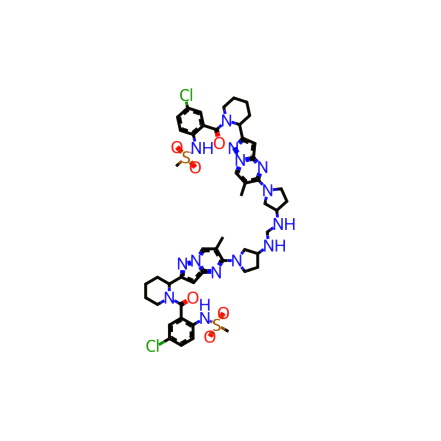 Cc1cn2nc(C3CCCCN3C(=O)c3cc(Cl)ccc3NS(C)(=O)=O)cc2nc1N1CCC(NCNC2CCN(c3nc4cc(C5CCCCN5C(=O)c5cc(Cl)ccc5NS(C)(=O)=O)nn4cc3C)C2)C1